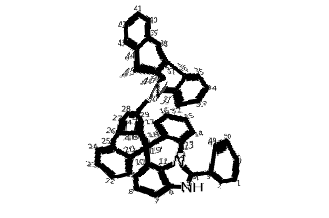 c1ccc(C2Nc3cccc4c3N2c2ccccc2C42c3ccccc3-c3ccc(-n4c5ccccc5c5cc6ccccc6cc54)cc32)cc1